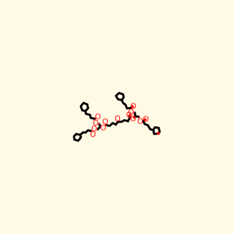 O=C(CCCC(=O)OC(COC(=O)CCCC1CCCCC1)COC(=O)CCCC1CCCCC1)CCCC(=O)OC(COC(=O)CCCC1CCCCC1)COC(=O)CCCC1CCCCC1